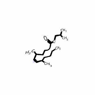 CCCCC(C)/C=C\C(C)CCCC(=O)OCC(C)C